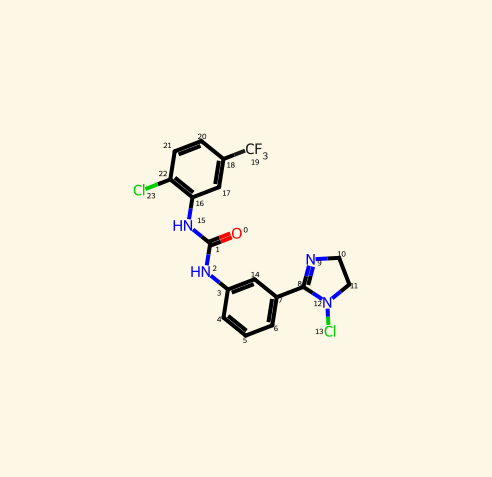 O=C(Nc1cccc(C2=NCCN2Cl)c1)Nc1cc(C(F)(F)F)ccc1Cl